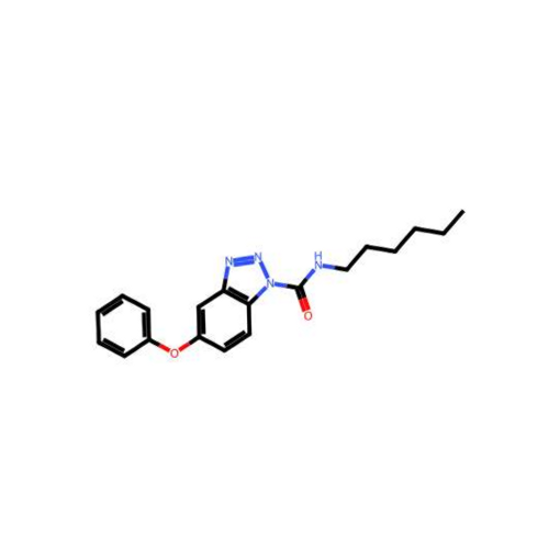 CCCCCCNC(=O)n1nnc2cc(Oc3ccccc3)ccc21